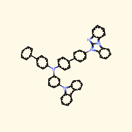 c1ccc(-c2ccc(N(c3ccc(-c4ccc(-n5c6ccccc6n6c7ccccc7nc56)cc4)cc3)c3cccc(-n4c5ccccc5c5ccccc54)c3)cc2)cc1